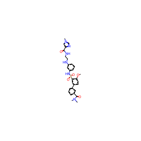 COc1ccc(-c2cccc(C(=O)N(C)C)c2)cc1S(=O)(=O)Nc1cccc(NCCNC(=O)c2cn(C)cn2)c1